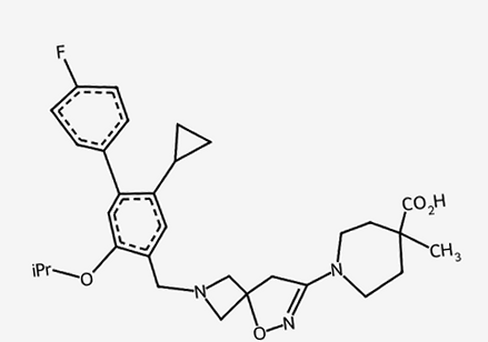 CC(C)Oc1cc(-c2ccc(F)cc2)c(C2CC2)cc1CN1CC2(CC(N3CCC(C)(C(=O)O)CC3)=NO2)C1